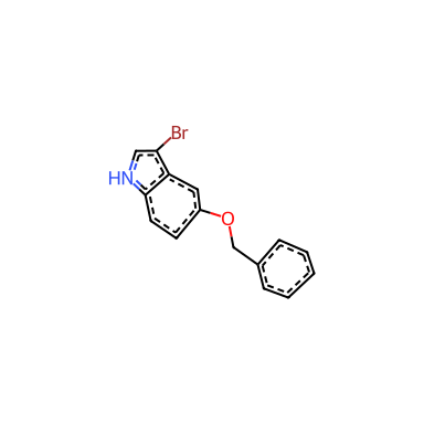 Brc1c[nH]c2ccc(OCc3ccccc3)cc12